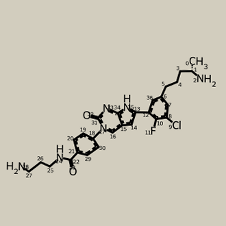 C[C@H](N)CCCc1cc(Cl)c(F)c(-c2cc3cn(-c4ccc(C(=O)NCCCN)cc4)c(=O)nc3[nH]2)c1